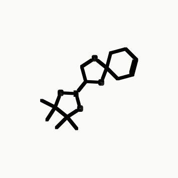 CC1(C)OB(C2COC3(CC=CCC3)O2)OC1(C)C